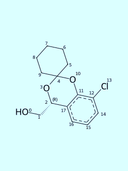 OC[C@@H]1OC2(CCCCC2)Oc2c(Cl)cccc21